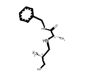 C[C@H](NC[C@@H](N)CS)C(=O)NCc1ccccc1